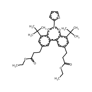 CCOC(=O)CCc1cc(C(C)(C)C)c2op(-c3cccs3)oc3c(C(C)(C)C)cc(CCC(=O)OCC)cc3c2c1